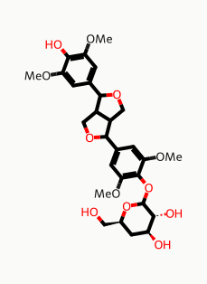 COc1cc(C2OCC3C(c4cc(OC)c(OC5O[C@H](CO)C[C@H](O)[C@H]5O)c(OC)c4)OCC23)cc(OC)c1O